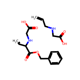 C=CC(NCC(=O)O)C(=O)OCc1ccccc1.C=CCNCC(=O)O